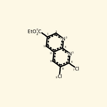 CCOC(=O)c1cnc2nc(Cl)c(Cl)cc2c1